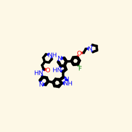 O=C(CC1CCNCC1)Nc1cncc(-c2ccc3[nH]nc(-c4cc5c(-c6cc(F)cc(OCCN7CCCC7)c6)cncc5[nH]4)c3c2)c1